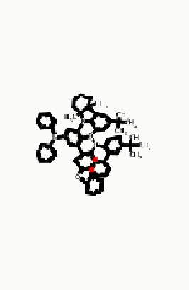 CC(C)(C)c1ccc(N2B3c4cc(C(C)(C)C)cc5c4N(c4cc(N(c6ccccc6)c6ccccc6)cc(c43)-c3cc4oc6ccccc6c4cc32)C2(C)CCCCC52C)c(-c2ccccc2)c1